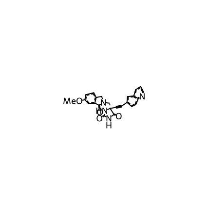 COc1ccc2c(c1)C(=O)N(C[C@@]1(C#Cc3ccc4ncccc4c3)NC(=O)NC1=O)C2